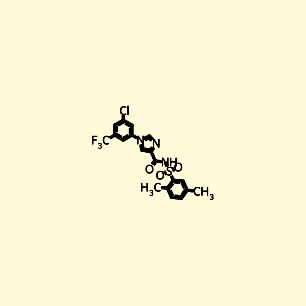 Cc1ccc(C)c(S(=O)(=O)NC(=O)c2cn(-c3cc(Cl)cc(C(F)(F)F)c3)cn2)c1